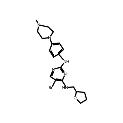 CN1CCN(c2ccc(Nc3ncc(Br)c(NCC4CCCO4)n3)cc2)CC1